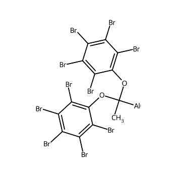 C[C]([Al])(Oc1c(Br)c(Br)c(Br)c(Br)c1Br)Oc1c(Br)c(Br)c(Br)c(Br)c1Br